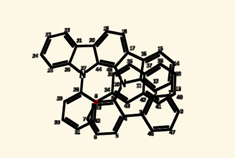 c1ccc(-c2ccccc2-n2c3ccccc3c3ccc4c5ccccc5n(-c5ccccc5-c5ccc6ccccc6c5)c4c32)cc1